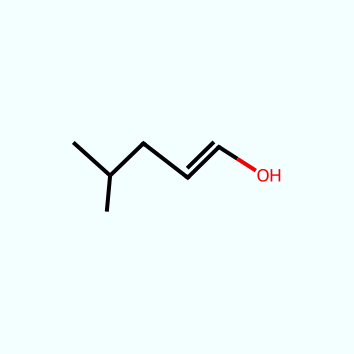 CC(C)CC=CO